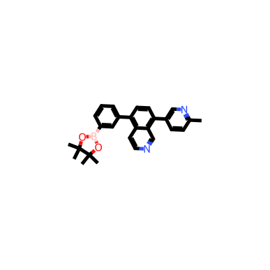 Cc1ccc(-c2ccc(-c3cccc(B4OC(C)(C)C(C)(C)O4)c3)c3ccncc23)cn1